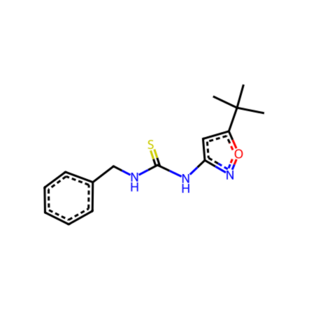 CC(C)(C)c1cc(NC(=S)NCc2ccccc2)no1